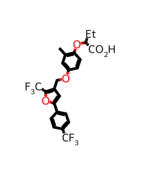 CCC(Oc1ccc(OCc2cc(-c3ccc(C(F)(F)F)cc3)oc2C(F)(F)F)cc1C)C(=O)O